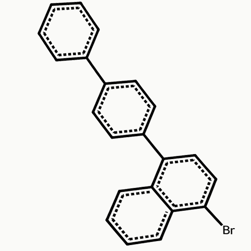 Brc1ccc(-c2ccc(-c3ccccc3)cc2)c2ccccc12